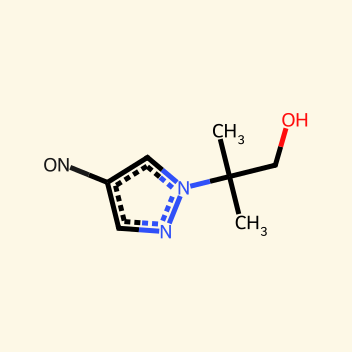 CC(C)(CO)n1cc(N=O)cn1